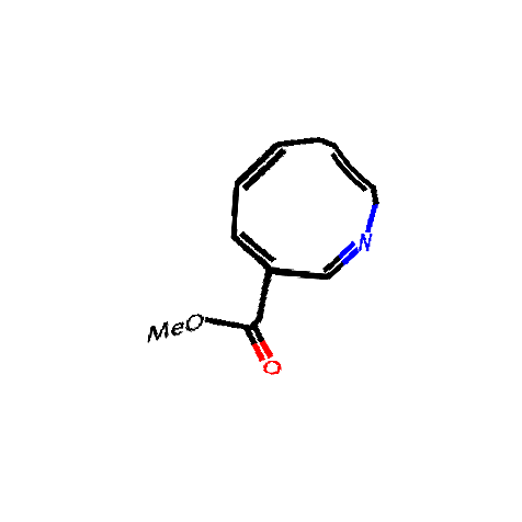 COC(=O)C1=CC=CC=CN=C1